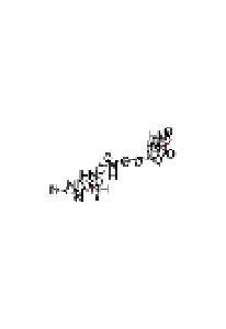 N#Cc1cnc2c(cnn2-c2cc(NC3CC3)c(C(=O)N[C@H]3CC[C@H](C(=O)NCCOCCOCCNc4cccc5c4C(=O)N(C4CCC(=O)NC4=O)C5=O)CC3)cn2)c1